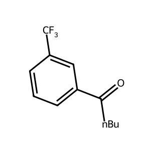 CCCCC(=O)c1cccc(C(F)(F)F)c1